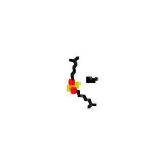 CC(C)CCCCCOP(=S)([S-])OCCCCCC(C)C.[Na+]